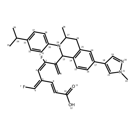 C=C(\C(F)=C/C(=C\F)/C=C/C(=O)O)C1c2ccc(-c3cnn(C)c3)cc2CC(C)N1c1ccc(C(C)C)cc1